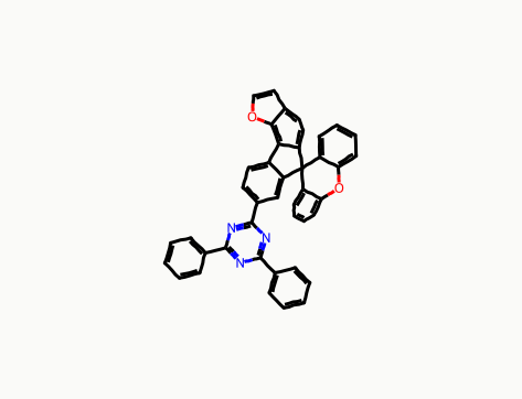 c1ccc(-c2nc(-c3ccccc3)nc(-c3ccc4c(c3)C3(c5ccccc5Oc5ccccc53)c3ccc5ccoc5c3-4)n2)cc1